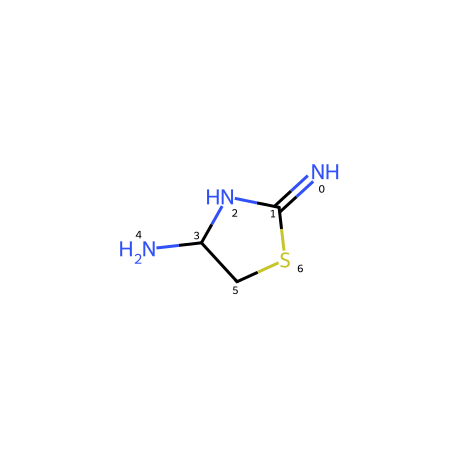 N=C1NC(N)CS1